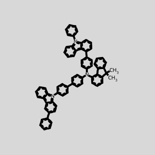 CC1(C)c2ccccc2-c2c(N(c3ccc(-c4ccc(-n5c6ccccc6c6cc(-c7ccccc7)ccc65)cc4)cc3)c3ccc(-c4cccc5c4c4ccccc4n5-c4ccccc4)cc3)cccc21